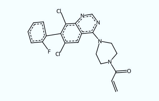 C=CC(=O)N1CCN(c2ncnc3c(Cl)c(-c4ccccc4F)c(Cl)cc23)CC1